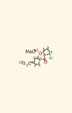 COCOc1cccc(F)c1C(=O)c1ccc(C(=O)O)cc1